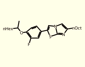 CCCCCCCCc1cn2cc(-c3ccc(OC(C)CCCCCC)c(F)c3)sc2n1